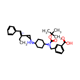 CC/C(=C\c1ccccc1)C1CC1NC1CCC(N(Cc2cccc(C(=O)O)c2)C(=O)OC(C)(C)C)CC1